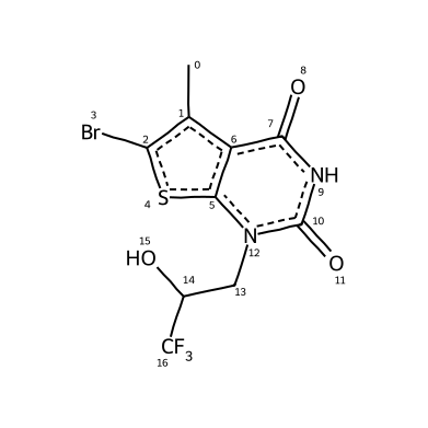 Cc1c(Br)sc2c1c(=O)[nH]c(=O)n2CC(O)C(F)(F)F